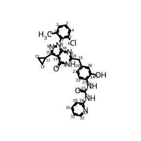 Cc1cccc(Cl)c1-n1nc(C2CC2)c2c(=O)[nH]c(Cc3ccc(NC(=O)Nc4ccccn4)c(O)c3)nc21